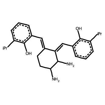 CC(C)c1cccc(C=C2CCC(N)C(N)C2=Cc2cccc(C(C)C)c2O)c1O